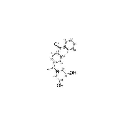 CC(c1ccc(C(=O)c2ccccc2)cc1)N(CCO)CCO